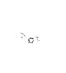 C[C@@H](N)Cc1ccc(F)c(OCB(O)O)c1